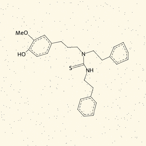 COc1cc(CCCN(CCc2ccccc2)C(=S)NCCc2ccccc2)ccc1O